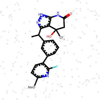 COc1ccc(-c2cccc(C(C)c3n[nH]c4c3C(O)(C(F)(F)F)CC(=O)N4)c2)c(F)n1